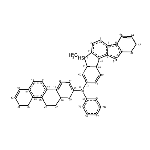 C[SiH]1c2ccc3c4c(sc3c2C2C=CC(N(C3=CC=C5c6ccc7c(c6CCC5C3)CCC=C7)c3ccccc3)=CC21)CCC=C4